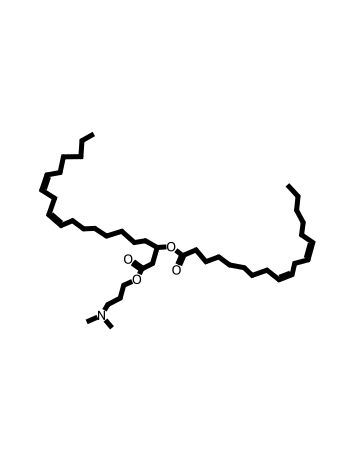 CCCCC/C=C\C/C=C\CCCCCCCC(=O)OC(CCCCCCC/C=C\C/C=C\CCCCC)CC(=O)OCCCN(C)C